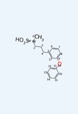 C[C@H](CCCc1cccc(Oc2ccccc2)c1)S(=O)(=O)O